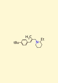 CCC1CCCCN1CC(C)=Cc1ccc(C(C)(C)C)cc1